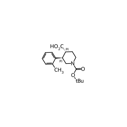 Cc1ccccc1[C@@H]1CN(C(=O)OC(C)(C)C)CC[C@H]1C(=O)O